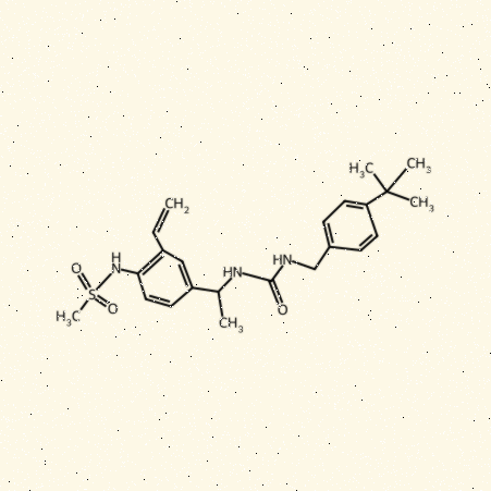 C=Cc1cc(C(C)NC(=O)NCc2ccc(C(C)(C)C)cc2)ccc1NS(C)(=O)=O